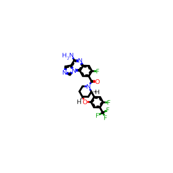 Nc1nc2cc(F)c(C(=O)N3CC[C@H]4C[C@@H]3c3cc(F)c(C(F)(F)F)cc3O4)cc2n2cncc12